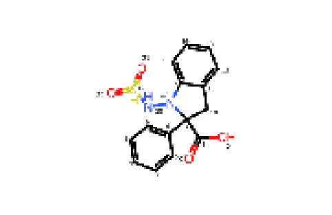 O=C(O)C1(c2ccccc2)Cc2ccccc2N1N[SH](=O)=O